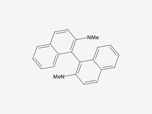 CNc1ccc2ccccc2c1-c1c(NC)ccc2ccccc12